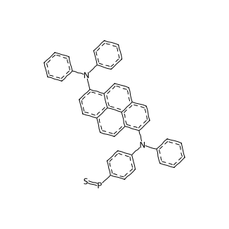 S=Pc1ccc(N(c2ccccc2)c2ccc3ccc4c(N(c5ccccc5)c5ccccc5)ccc5ccc2c3c54)cc1